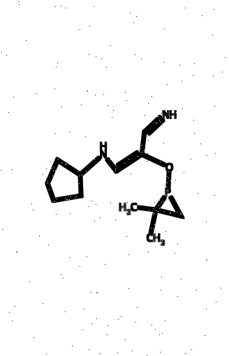 CC1(C)CP1O/C(C=N)=C/NC1CCCC1